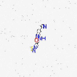 Cc1ccncc1-c1ccc2cnc(NC(=O)C=C3CCN(c4nccs4)CC3)cc2c1